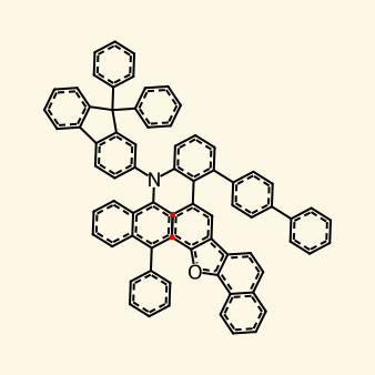 c1ccc(-c2ccc(-c3cccc(N(c4ccc5c(c4)C(c4ccccc4)(c4ccccc4)c4ccccc4-5)c4ccc(-c5ccccc5)c5ccccc45)c3-c3ccc4oc5c6ccccc6ccc5c4c3)cc2)cc1